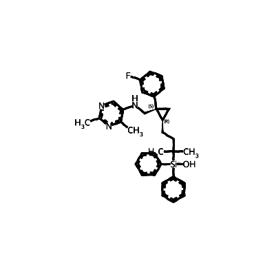 Cc1ncc(NC[C@@]2(c3cccc(F)c3)C[C@H]2CCC(C)(C)[Si](O)(c2ccccc2)c2ccccc2)c(C)n1